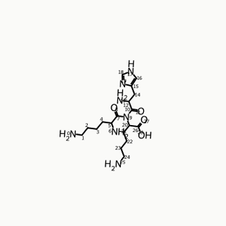 NCCCCC(N)C(=O)N(C(=O)C(N)Cc1c[nH]cn1)C(CCCCN)C(=O)O